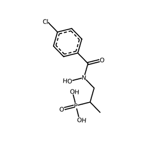 CC(CN(O)C(=O)c1ccc(Cl)cc1)P(=O)(O)O